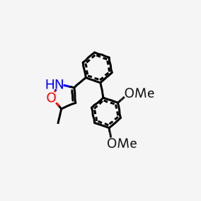 COc1ccc(-c2ccccc2C2=CC(C)ON2)c(OC)c1